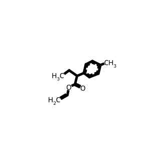 C=COC(=O)C(CC)c1ccc(C)cc1